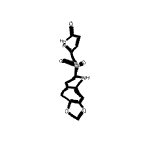 O=c1ccc(S(=O)(=O)c2cc3cc4c(cc3[nH]2)OCO4)n[nH]1